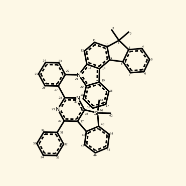 CC1(C)c2ccccc2-c2c1ccc1c2c2ccccc2n1-c1ccccc1-c1nc(-c2ccccc2)c2c(n1)[Si](C)(C)c1ccccc1-2